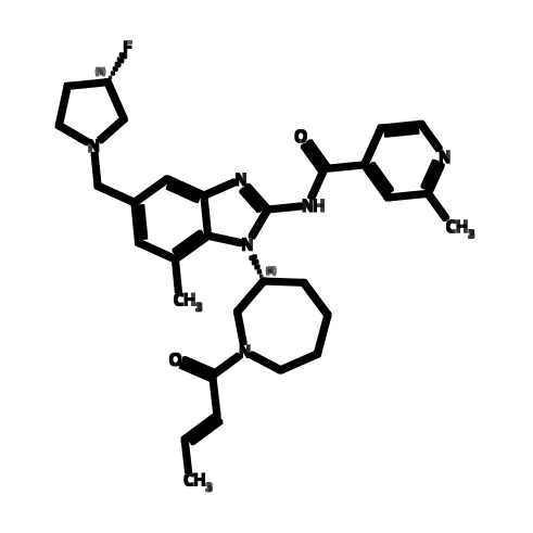 CC=CC(=O)N1CCCC[C@@H](n2c(NC(=O)c3ccnc(C)c3)nc3cc(CN4CC[C@H](F)C4)cc(C)c32)C1